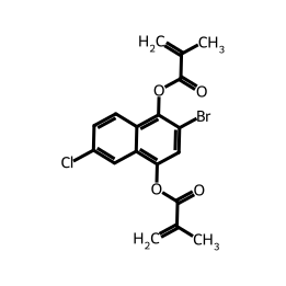 C=C(C)C(=O)Oc1cc(Br)c(OC(=O)C(=C)C)c2ccc(Cl)cc12